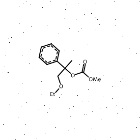 CCOCC(C)(OC(=O)OC)c1ccccc1